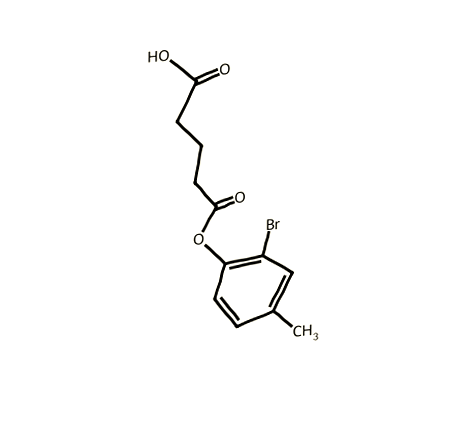 Cc1ccc(OC(=O)CCCC(=O)O)c(Br)c1